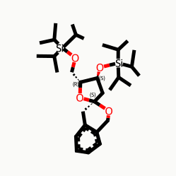 CC(C)[Si](OC[C@H]1O[C@@]2(Cc3ccccc3CO2)C[C@@H]1O[Si](C(C)C)(C(C)C)C(C)C)(C(C)C)C(C)C